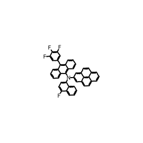 Fc1cc(-c2c3ccccc3c(N(c3cc4ccc5cccc6ccc(c3)c4c56)c3ccc(F)c4ccccc34)c3ccccc23)cc(F)c1F